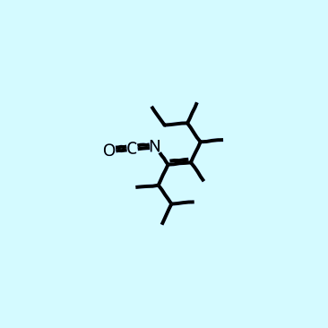 CCC(C)C(C)/C(C)=C(\N=C=O)C(C)C(C)C